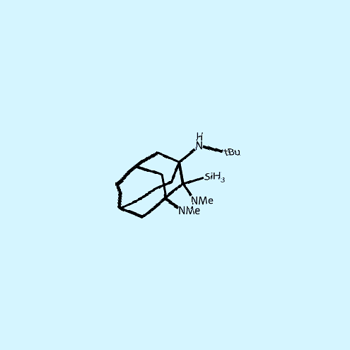 CNC12CC3CC(C1)CC(NC(C)(C)C)(C3)C2([SiH3])NC